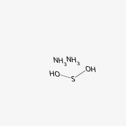 N.N.OSO